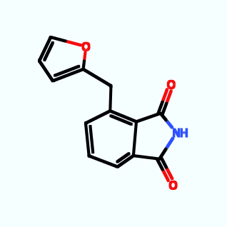 O=C1NC(=O)c2c(Cc3ccco3)cccc21